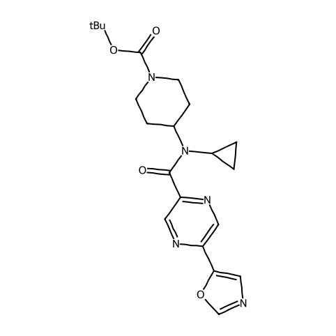 CC(C)(C)OC(=O)N1CCC(N(C(=O)c2cnc(-c3cnco3)cn2)C2CC2)CC1